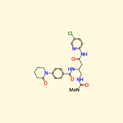 CNC(=O)NCC(CC(=O)Nc1ccc(Cl)cn1)NC(=O)c1ccc(N2CCCCC2=O)cc1